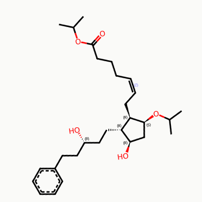 CC(C)OC(=O)CCC/C=C\C[C@@H]1[C@@H](CC[C@@H](O)CCc2ccccc2)[C@H](O)C[C@@H]1OC(C)C